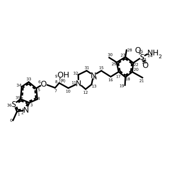 Cc1nc2cc(OC[C@H](O)CN3CCN(CCc4c(C)c(C)c(S(N)(=O)=O)c(C)c4C)CC3)ccc2s1